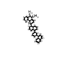 CC1c2cccnc2-c2nc(-c3cccc4c(-c5cccc(-c6cccc7ccccc67)c5)cccc34)ccc2C1C